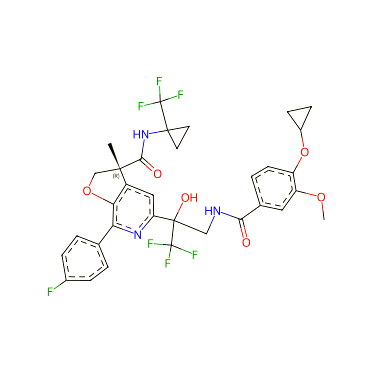 COc1cc(C(=O)NCC(O)(c2cc3c(c(-c4ccc(F)cc4)n2)OC[C@]3(C)C(=O)NC2(C(F)(F)F)CC2)C(F)(F)F)ccc1OC1CC1